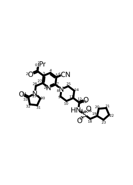 CC(C)C(=O)c1cc(C#N)c(N2CCC(C(=O)NS(=O)(=O)CC3CCCC3)CC2)nc1CN1CCCC1=O